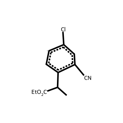 CCOC(=O)C(C)c1c[c]c(Cl)cc1C#N